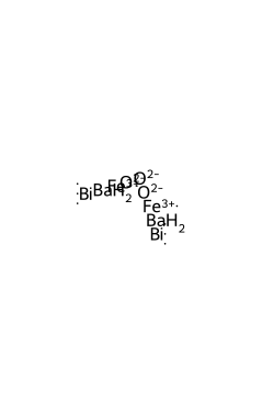 [BaH2].[BaH2].[Bi].[Bi].[Fe+3].[Fe+3].[O-2].[O-2].[O-2]